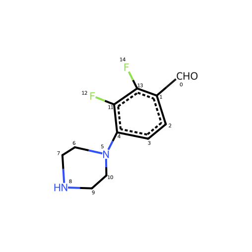 O=Cc1ccc(N2CCNCC2)c(F)c1F